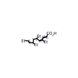 CC/C=C/C(CC)CC(/C=C(\C=C\C(=O)O)CC)CC